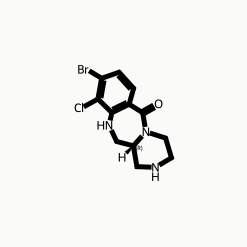 O=C1c2ccc(Br)c(Cl)c2NC[C@H]2CNCCN12